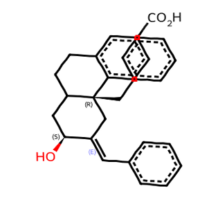 O=C(O)c1ccc2c(c1)CCC1C[C@H](O)/C(=C/c3ccccc3)C[C@@]21Cc1ccccc1